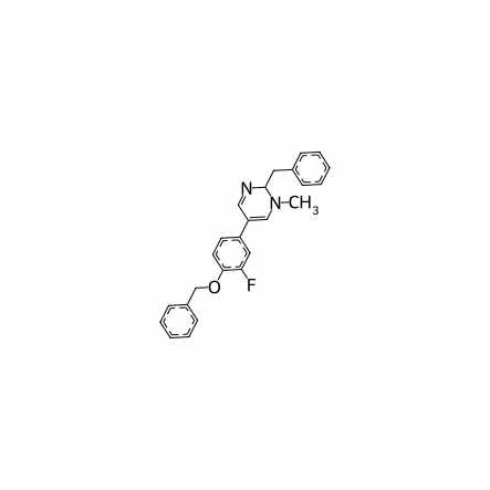 CN1C=C(c2ccc(OCc3ccccc3)c(F)c2)C=NC1Cc1ccccc1